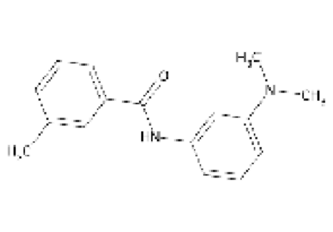 Cc1cccc(C(=O)Nc2cccc(N(C)C)c2)c1